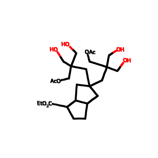 CCOC(=O)C1CCC2CC(CC(CO)(CO)COC(C)=O)(CC(CO)(CO)COC(C)=O)CC21